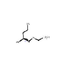 CCOC(=O)CO/N=C(\CCC#N)C(C)C